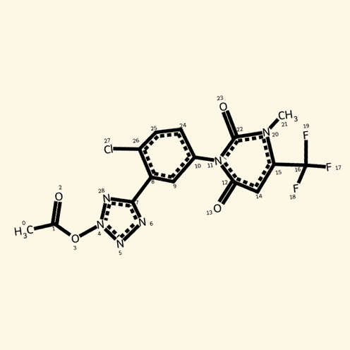 CC(=O)On1nnc(-c2cc(-n3c(=O)cc(C(F)(F)F)n(C)c3=O)ccc2Cl)n1